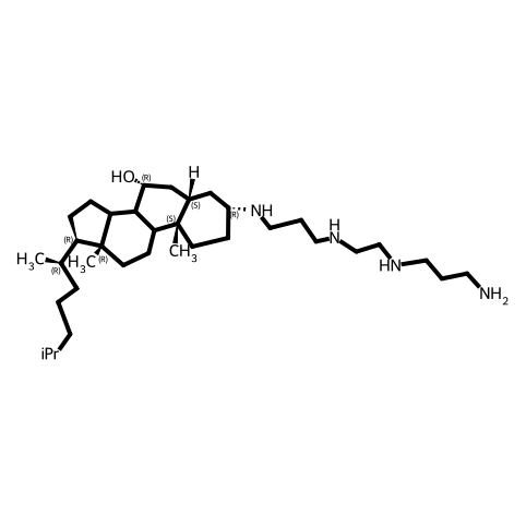 CC(C)CCC[C@@H](C)[C@H]1CCC2C3C(CC[C@@]21C)[C@@]1(C)CC[C@@H](NCCCNCCNCCCN)C[C@H]1C[C@H]3O